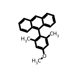 COc1cc(C)c(-c2c3ccccc3cc3ccccc23)c(C)c1